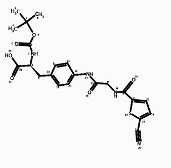 CC(C)(C)OC(=O)N[C@@H](Cc1ccc(NC(=O)CNC(=O)c2ccc(C#N)s2)cc1)C(=O)O